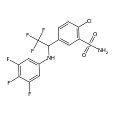 NS(=O)(=O)c1cc(C(Nc2cc(F)c(F)c(F)c2)C(F)(F)F)ccc1Cl